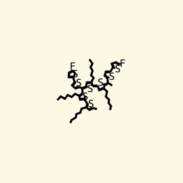 CCCCCCc1cc(-c2sc(C)cc2CCCCCC)sc1/C(c1ccc(-c2ccc(F)s2)s1)=c1/cc(CCCCCC)/c(=c2/cc(CCCCCC)/c(=C(\C)c3ccc(-c4ccc(F)s4)s3)s2)s1